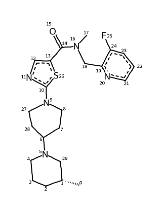 C[C@@H]1CCCN(C2CCN(c3ncc(C(=O)N(C)Cc4ncccc4F)s3)CC2)C1